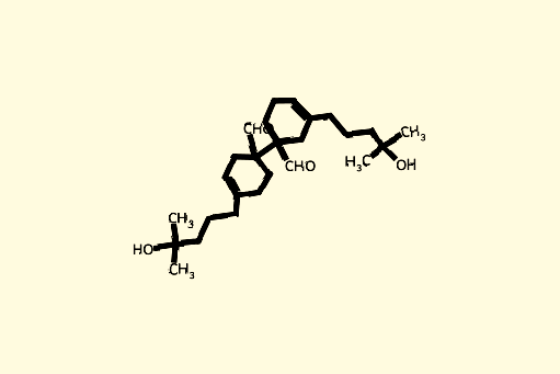 CC(C)(O)CCCC1=CCC(C=O)(C2(C=O)CCC=C(CCCC(C)(C)O)C2)CC1